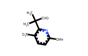 COc1ccc([N+](=O)[O-])c(C(C)(C)C=O)n1